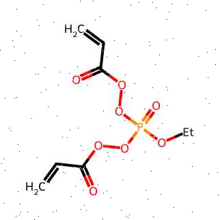 C=CC(=O)OOP(=O)(OCC)OOC(=O)C=C